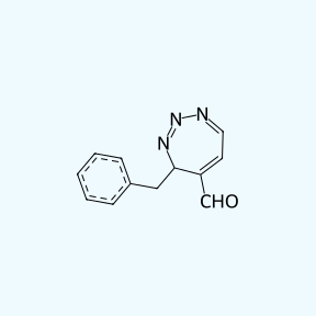 O=CC1=CC=NN=NC1Cc1ccccc1